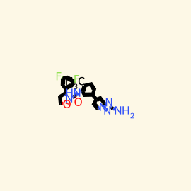 Cc1ccc(-c2ccn3nc(N)nc3c2)cc1NC(=O)N1OCC[C@H]1c1cc(F)cc(F)c1